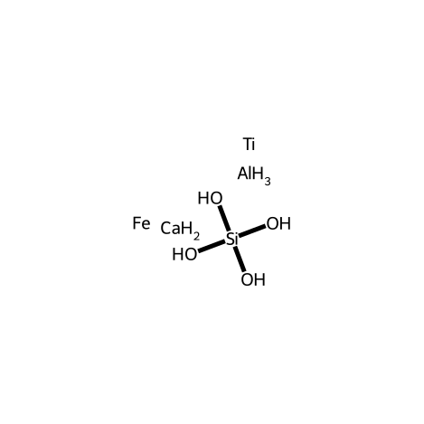 O[Si](O)(O)O.[AlH3].[CaH2].[Fe].[Ti]